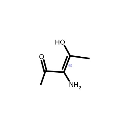 CC(=O)/C(N)=C(/C)O